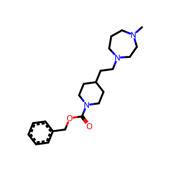 CN1CCCN(CCC2CCN(C(=O)OCc3ccccc3)CC2)CC1